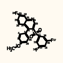 COc1ccc(-c2c(S(=O)(=O)c3cc(F)cc(F)c3)cnc3cc(F)ccc23)cc1